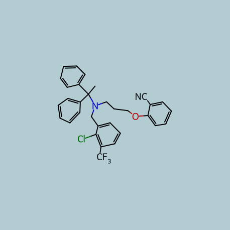 CC(c1ccccc1)(c1ccccc1)N(CCCOc1ccccc1C#N)Cc1cccc(C(F)(F)F)c1Cl